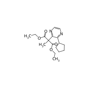 CCOC(=O)C(C)(C(=O)OCC)c1nccnc1C1CCCC1